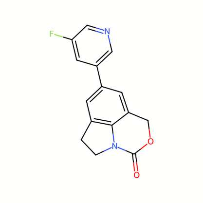 O=C1OCc2cc(-c3cncc(F)c3)cc3c2N1CC3